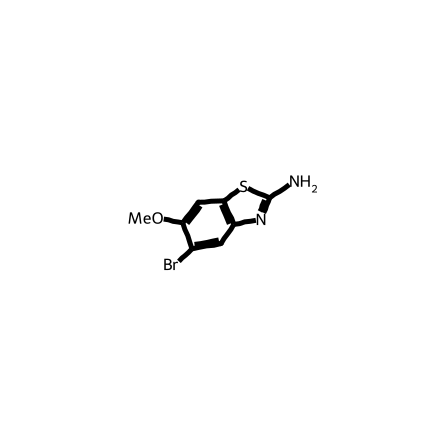 COc1cc2sc(N)nc2cc1Br